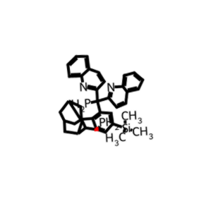 C[Si](C)(C)c1ccc(C23CC4CC(CC(C4)C2CP)C3)c(C(P)(c2ccc3ccccc3n2)c2ccc3ccccc3n2)c1